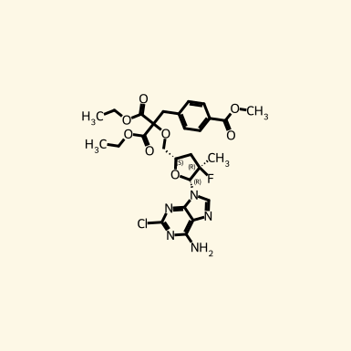 CCOC(=O)C(Cc1ccc(C(=O)OC)cc1)(OC[C@@H]1C[C@@](C)(F)[C@H](n2cnc3c(N)nc(Cl)nc32)O1)C(=O)OCC